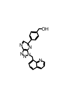 OCc1ccc(-c2cnc3nnn(Cc4cccc5cccnc45)c3n2)cc1